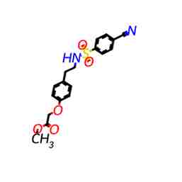 COC(=O)COc1ccc(CCNS(=O)(=O)c2ccc(C#N)cc2)cc1